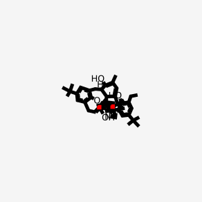 CCc1cc(C(C)(C)C)cc(CC2(C)C(O)=C3C=C4C(C)(C)C(C)(C)C5=CC(C)=C(O)[C@@H](Cc6cc(C(C)(C)C)cc(c6OCc6cn(C)cn6)C3)[C@]542)c1O